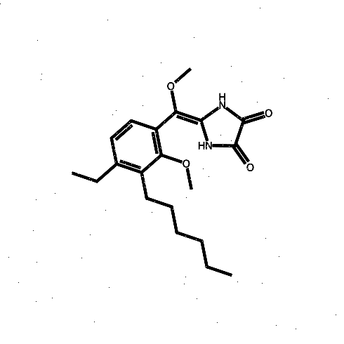 CCCCCCc1c(CC)ccc(C(OC)=C2NC(=O)C(=O)N2)c1OC